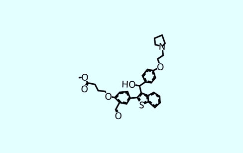 COC(=O)CCCOc1ccc(-c2sc3ccccc3c2C(O)c2ccc(OCCN3CCCC3)cc2)cc1C=O